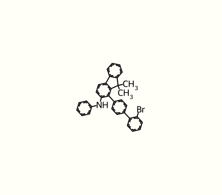 CC1(C)c2ccccc2-c2ccc(Nc3ccccc3)c(-c3ccc(-c4ccccc4Br)cc3)c21